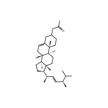 CC(=O)OC1CC[C@@]2(C)C(=CC[C@H]3[C@@H]4CC[C@H]([C@H](C)/C=C/[C@H](C)C(C)C)[C@@]4(C)CC[C@@H]32)C1